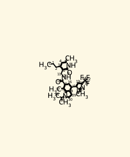 CCCc1cc(C)[nH]c(=O)c1CNC(=O)c1cc(-c2cc(C(F)(F)F)nn2C)c2ccn(C(C)C)c2c1C